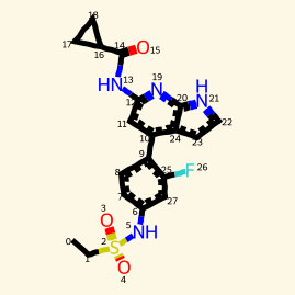 CCS(=O)(=O)Nc1ccc(-c2cc(NC(=O)C3CC3)nc3[nH]ccc23)c(F)c1